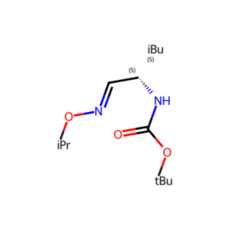 CC[C@H](C)[C@@H](C=NOC(C)C)NC(=O)OC(C)(C)C